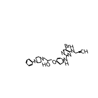 C#CCNc1nc(Nc2ccc(OCC(O)CN3CCN(c4ccccc4)CC3)cc2)ncc1Br